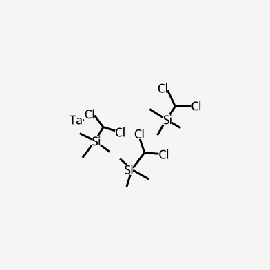 C[Si](C)(C)C(Cl)Cl.C[Si](C)(C)C(Cl)Cl.C[Si](C)(C)C(Cl)Cl.[Ta]